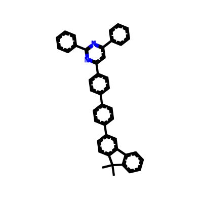 CC1(C)c2ccccc2-c2cc(-c3ccc(-c4ccc(-c5cc(-c6ccccc6)nc(-c6ccccc6)n5)cc4)cc3)ccc21